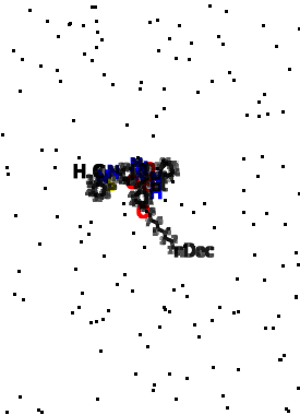 CCCCCCCCCCCCCCCCCCOc1ccc(C(=O)C(OCC)(C(=O)Nc2ccccc2)n2nnc3cc(/N=c4\sc5ccccc5n4C)ccc32)cc1